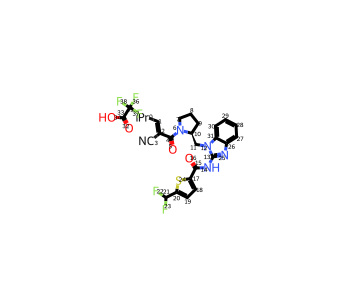 CC(C)C=C(C#N)C(=O)N1CCC[C@H]1Cn1c(NC(=O)c2ccc(C(F)F)s2)nc2ccccc21.O=C(O)C(F)(F)F